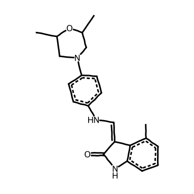 Cc1cccc2c1C(=CNc1ccc(N3CC(C)OC(C)C3)cc1)C(=O)N2